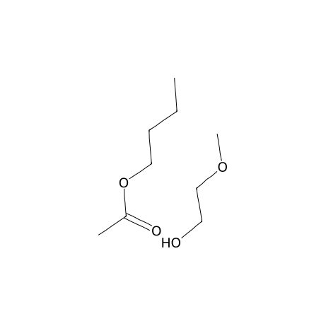 CCCCOC(C)=O.COCCO